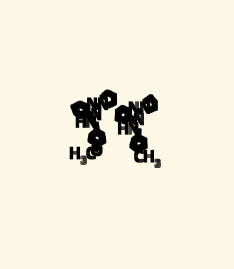 COc1ccc(CNc2nc(N3CCCCC3)nc3ccccc23)cc1.Cc1ccc(CNc2nc(N3CCCCC3)nc3ccccc23)cc1